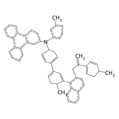 C=C(Cc1ccc2ccccc2c1C1=CC(C2=CCC(N(c3cccc(C)c3)c3ccc4c5ccccc5c5ccccc5c4c3)C=C2)=CCC1C)C1=CCC(C)C=C1